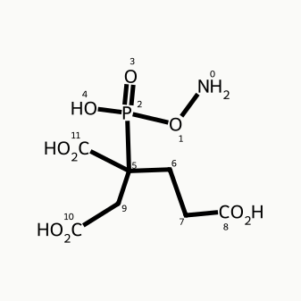 NOP(=O)(O)C(CCC(=O)O)(CC(=O)O)C(=O)O